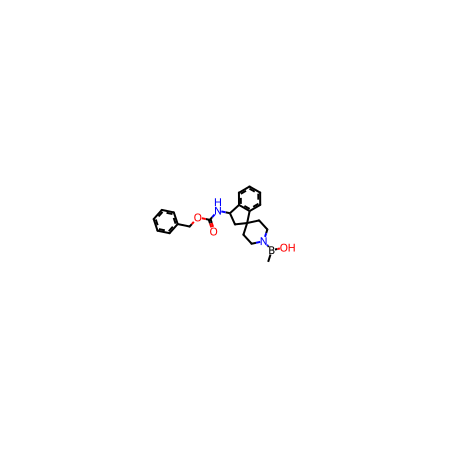 CB(O)N1CCC2(CC1)CC(NC(=O)OCc1ccccc1)c1ccccc12